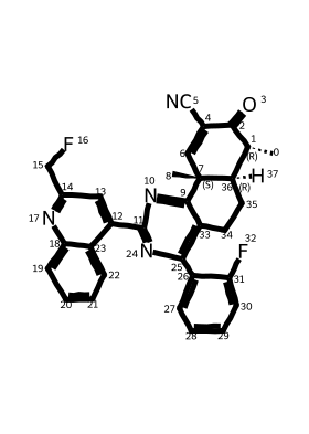 C[C@H]1C(=O)C(C#N)=C[C@@]2(C)c3nc(-c4cc(CF)nc5ccccc45)nc(-c4ccccc4F)c3CC[C@H]12